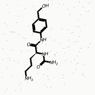 NCCC[C@H](NC(N)=O)C(=O)Nc1ccc(CO)cc1